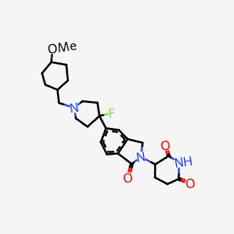 COC1CCC(CN2CCC(F)(c3ccc4c(c3)CN(C3CCC(=O)NC3=O)C4=O)CC2)CC1